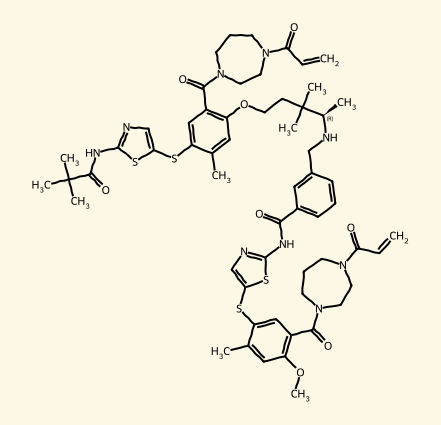 C=CC(=O)N1CCCN(C(=O)c2cc(Sc3cnc(NC(=O)c4cccc(CN[C@H](C)C(C)(C)CCOc5cc(C)c(Sc6cnc(NC(=O)C(C)(C)C)s6)cc5C(=O)N5CCCN(C(=O)C=C)CC5)c4)s3)c(C)cc2OC)CC1